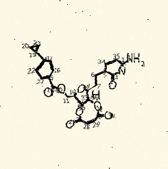 NC1=NC(=O)C(CC[C@@H]2O[C@H](COC(=O)c3ccc(C4CC4)cc3)C3OC(=O)/C=C\C(=O)O[C@@H]32)C=C1